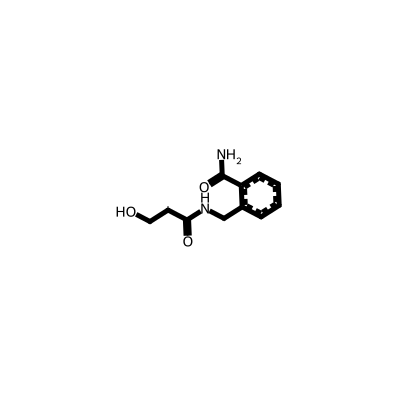 NC(=O)c1ccccc1CNC(=O)[CH]CO